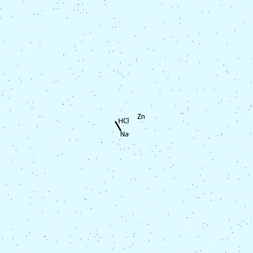 Cl.[CH3][Na].[Zn]